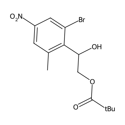 Cc1cc([N+](=O)[O-])cc(Br)c1C(O)COC(=O)C(C)(C)C